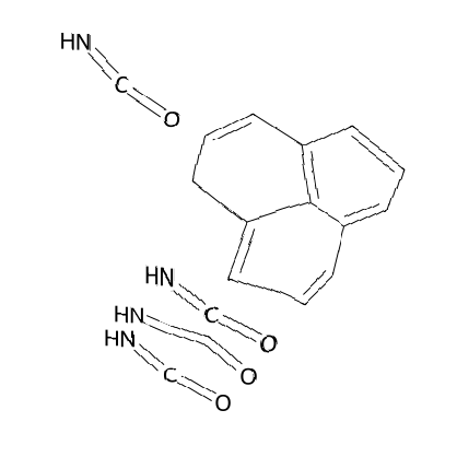 C1=Cc2cccc3cccc(c23)C1.N=C=O.N=C=O.N=C=O.N=C=O